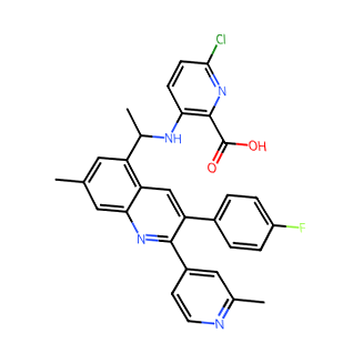 Cc1cc(C(C)Nc2ccc(Cl)nc2C(=O)O)c2cc(-c3ccc(F)cc3)c(-c3ccnc(C)c3)nc2c1